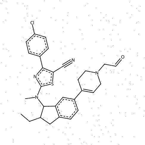 CCC1Cc2ccc(C3=CCN(CC=O)CC3)cc2C1N(C)c1nc(-c2ccc(Cl)cc2)c(C#N)s1